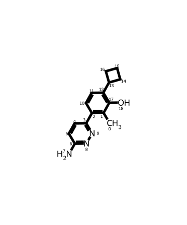 Cc1c(-c2ccc(N)nn2)ccc(C2CCC2)c1O